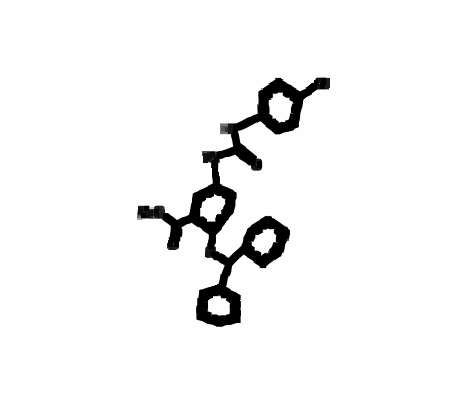 COC(=O)c1cc(NC(=O)Nc2ccc(C#N)cc2)ccc1OC(c1ccccc1)c1ccccc1